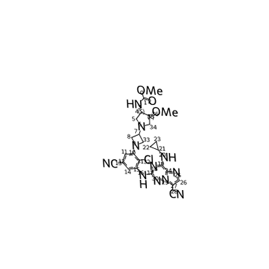 COC(=O)N[C@H]1CN(C2CN(c3cc(C#N)cc(Nc4nc(NC5CC5)c5ncc(C#N)n5n4)c3Cl)C2)C[C@H]1OC